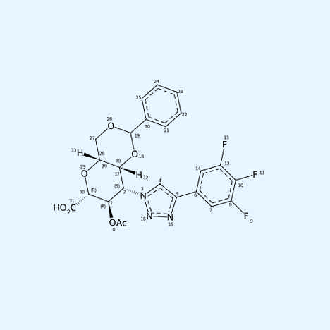 CC(=O)O[C@@H]1[C@@H](n2cc(-c3cc(F)c(F)c(F)c3)nn2)[C@H]2OC(c3ccccc3)OC[C@H]2O[C@H]1C(=O)O